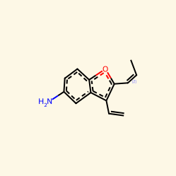 C=Cc1c(/C=C\C)oc2ccc(N)cc12